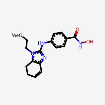 COCCn1c(Nc2ccc(C(=O)NO)cc2)nc2c1CCC=C2